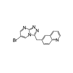 Brc1cnc2nnc(Cc3ccc4ncccc4c3)n2c1